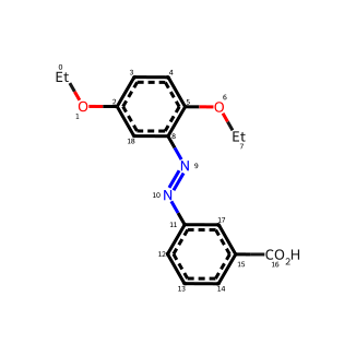 CCOc1ccc(OCC)c(N=Nc2cccc(C(=O)O)c2)c1